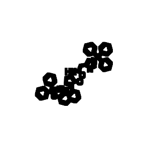 CC(C)(C)[Si](Oc1ccc2cccc(N3CC[C@H](NC(=O)Cc4cn(C(c5ccccc5)(c5ccccc5)c5ccccc5)cn4)C3=O)c2c1)(c1ccccc1)c1ccccc1